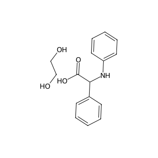 O=C(O)C(Nc1ccccc1)c1ccccc1.OCCO